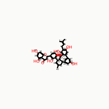 CC(C)=CCc1c(O)cc2c(c1O)C(=O)C1C(c3c(O)ccc(C4CC(=O)c5c(O)cc(O)cc5O4)c3O)C=C(C)CC1c1cc(O)cc-2c1